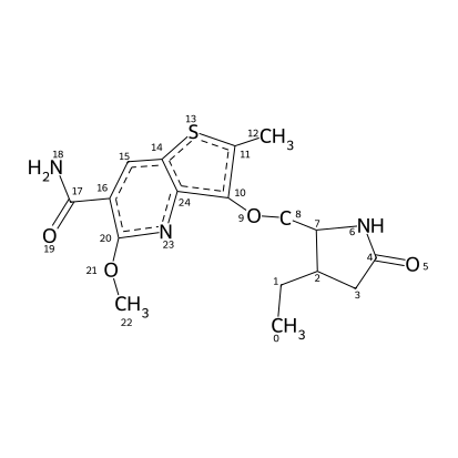 CCC1CC(=O)NC1COc1c(C)sc2cc(C(N)=O)c(OC)nc12